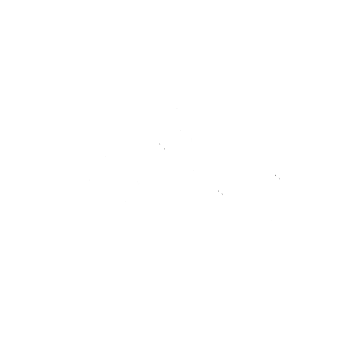 CCOC(=O)c1cn(C2CC2)c2c(OC)c(N3C[C@@H]4CCCN[C@@H]4C3)c(F)cc2c1=O